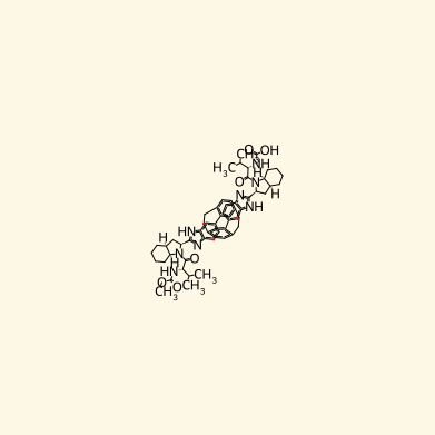 COC(=O)N[C@H](C(=O)N1[C@H](c2nc3ccc(-c4cc5ccc4CCc4ccc(c(-c6ccc7nc([C@@H]8C[C@@H]9CCCC[C@@H]9N8C(=O)[C@@H](NC(=O)O)C(C)C)[nH]c7c6)c4)CC5)cc3[nH]2)C[C@@H]2CCCC[C@@H]21)C(C)C